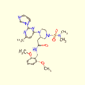 COc1cccc(OC)c1CNC(=O)CC1CN(S(=O)(=O)N(C)C)CCN1c1cc(C)nc(-n2ccnc2)n1